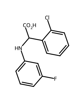 O=C(O)C(Nc1cccc(F)c1)c1ccccc1Cl